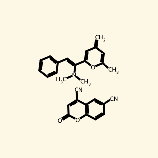 C=C1C=C(C)OC(C(=Cc2ccccc2)N(C)C)=C1.N#Cc1ccc2oc(=O)cc(C#N)c2c1